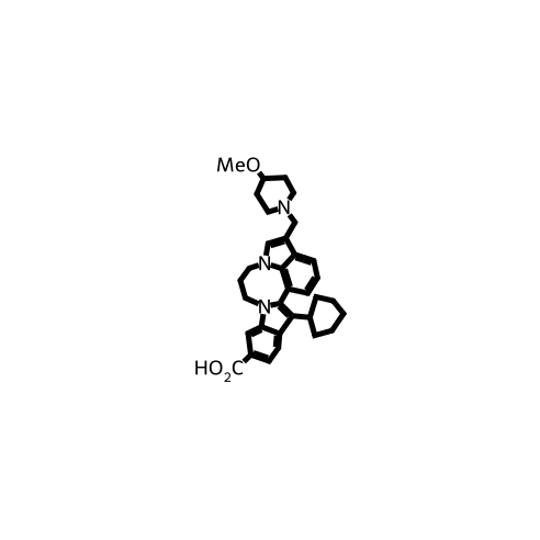 COC1CCN(Cc2cn3c4c(cccc24)-c2c(C4CCCCC4)c4ccc(C(=O)O)cc4n2CCC3)CC1